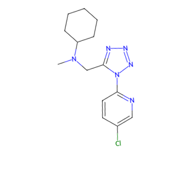 CN(Cc1nnnn1-c1ccc(Cl)cn1)C1CCCCC1